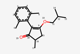 Cc1cccc(C)c1C1=C(OCC(C)C)CC(C)C1=O